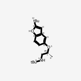 C[C@H](CNC(C)(C)C)Oc1ccc2oc(C(C)(C)C)cc2c1